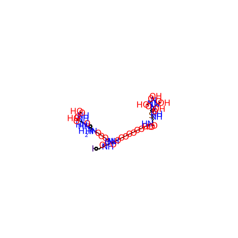 N/C(=C\NCCOCCOCCOCCC(=O)N[C@@H](CCCCNC(=O)CCCc1ccc(I)cc1)C(=O)NCCOCCOCCOCCOCCOCCOCCOCCOCCC(=O)N[C@@H](CCCCNC(=S)Nc1ccc(CC2CN(CC(=O)O)CCN(CC(=O)O)CCN(CC(=O)O)CCN2CC(=O)O)cc1)C(=O)O)c1cccc(NC(=O)NCCCC[C@H](NC(=O)NCC(=O)O)C(=O)O)c1